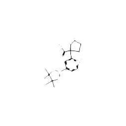 CC1(C)OB(c2ccnc(C3(C(N)=O)CCCC3)c2)OC1(C)C